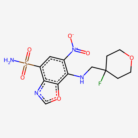 NS(=O)(=O)c1cc([N+](=O)[O-])c(NCC2(F)CCOCC2)c2ocnc12